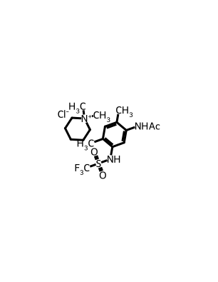 CC(=O)Nc1cc(NS(=O)(=O)C(F)(F)F)c(C)cc1C.C[N+]1(C)CCCCC1.[Cl-]